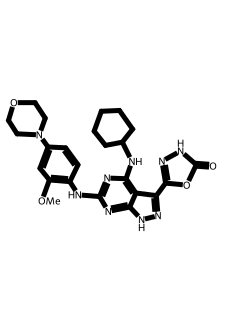 COc1cc(N2CCOCC2)ccc1Nc1nc(NC2CCCCC2)c2c(-c3n[nH]c(=O)o3)n[nH]c2n1